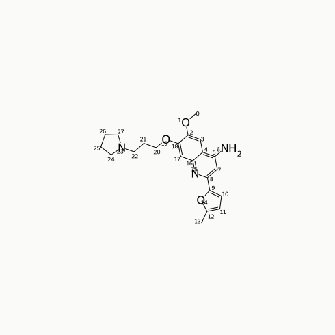 COc1cc2c(N)cc(-c3ccc(C)o3)nc2cc1OCCCN1CCCC1